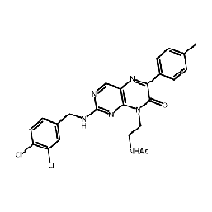 CC(=O)NCCn1c(=O)c(-c2ccc(C)cc2)nc2cnc(NCc3ccc(Cl)c(Cl)c3)nc21